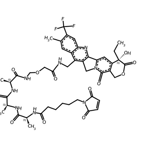 CC[C@@]1(O)C(=O)OCc2c1cc1n(c2=O)Cc2c-1nc1cc(C(F)(F)F)c(C)cc1c2CNC(=O)COCNC(=O)[C@H](C)NC(=O)[C@H](C)NC(=O)[C@H](C)NC(=O)CCCCCN1C(=O)C=CC1=O